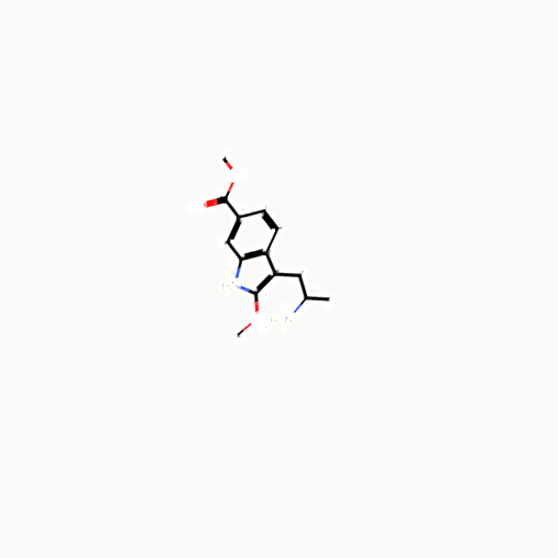 COC(=O)c1ccc2c(CC(C)N)c(OC)[nH]c2c1